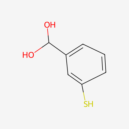 OC(O)c1cccc(S)c1